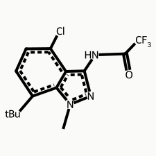 Cn1nc(NC(=O)C(F)(F)F)c2c(Cl)ccc(C(C)(C)C)c21